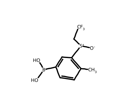 Cc1ccc(B(O)O)cc1[S+]([O-])CC(F)(F)F